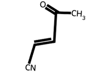 CC(=O)C=CC#N